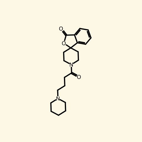 O=C1OC2(CCN(C(=O)CCCN3CCCCC3)CC2)c2ccccc21